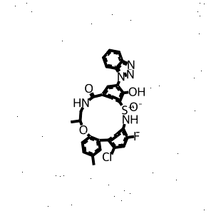 Cc1ccc2c(c1)-c1cc(c(F)cc1Cl)N[S+]([O-])c1cc(cc(-n3nnc4ccccc43)c1O)C(=O)NCC(C)O2